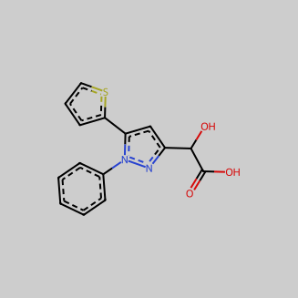 O=C(O)C(O)c1cc(-c2cccs2)n(-c2ccccc2)n1